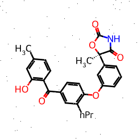 CCCc1cc(C(=O)c2ccc(C)cc2O)ccc1Oc1cccc([C@@]2(C)OC(=O)NC2=O)c1